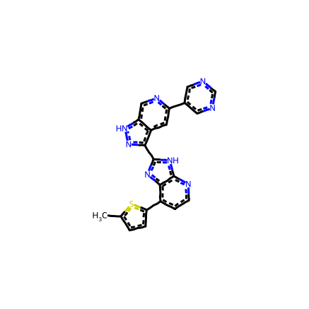 Cc1ccc(-c2ccnc3[nH]c(-c4n[nH]c5cnc(-c6cncnc6)cc45)nc23)s1